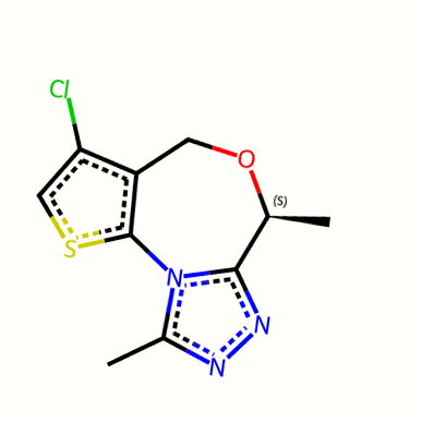 Cc1nnc2n1-c1scc(Cl)c1CO[C@H]2C